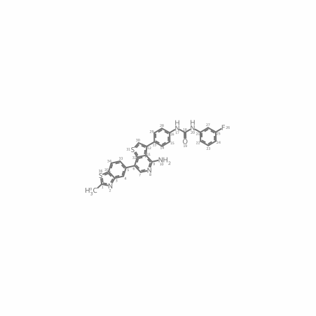 Cc1nc2cc(-c3cnc(N)c4c(-c5ccc(NC(=O)Nc6cccc(F)c6)cc5)csc34)ccc2s1